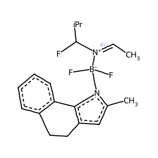 C/C=[N+](/C(F)C(C)C)[B-](F)(F)n1c(C)cc2c1-c1ccccc1CC2